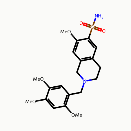 COc1cc(OC)c(OC)cc1CN1CCc2cc(S(N)(=O)=O)c(OC)cc2C1